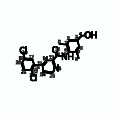 Cc1cc(CO)cc(C)c1NC(=O)c1cc(-c2cc(Cl)ccc2Cl)ccn1